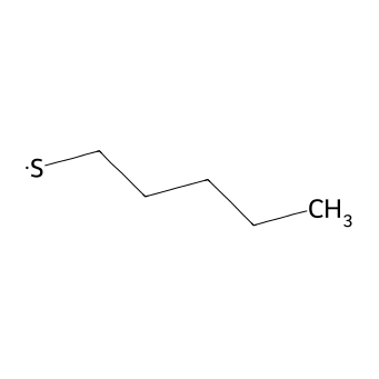 CCCCC[S]